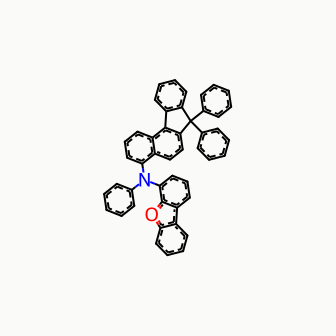 c1ccc(N(c2cccc3c4c(ccc23)C(c2ccccc2)(c2ccccc2)c2ccccc2-4)c2cccc3c2oc2ccccc23)cc1